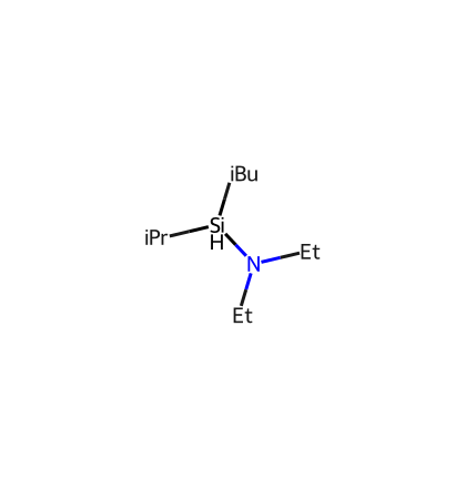 CCC(C)[SiH](C(C)C)N(CC)CC